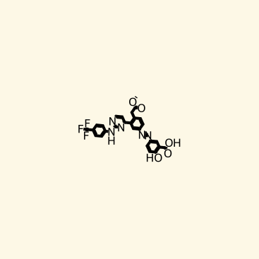 COC(=O)Cc1ccc(/N=N/c2ccc(O)c(C(=O)O)c2)cc1-c1ccnc(Nc2ccc(C(F)(F)F)cc2)n1